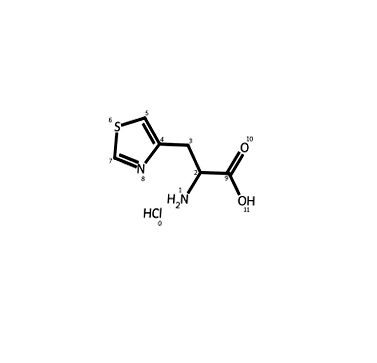 Cl.NC(Cc1cscn1)C(=O)O